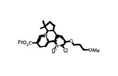 CCOC(=O)C1=CN2C(=CC1)c1c(cc(OCCCOC)c(Cl)[n+]1[O-])C1CCC(C)(C)C12